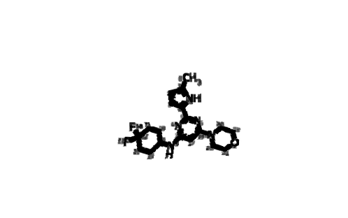 Cc1ccc(-c2nc(NC3CCC(F)(F)CC3)cc(N3CCOCC3)n2)[nH]1